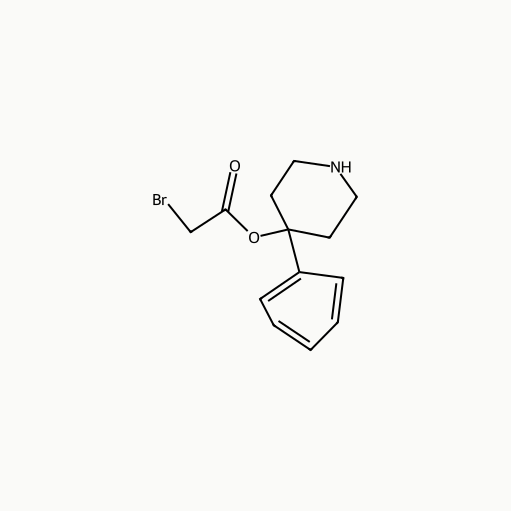 O=C(CBr)OC1(c2ccccc2)CCNCC1